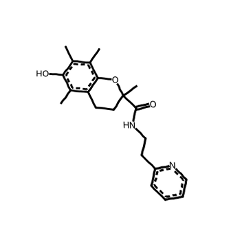 Cc1c(C)c2c(c(C)c1O)CCC(C)(C(=O)NCCc1ccccn1)O2